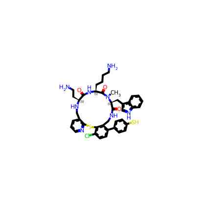 CN1C(=O)[C@H](CCCCN)NC(=O)[C@H](CCN)NCc2cccnc2Sc2c(Cl)ccc(-c3ccc(S)cc3)c2CNC(=O)[C@@H]1Cc1c[nH]c2ccccc12